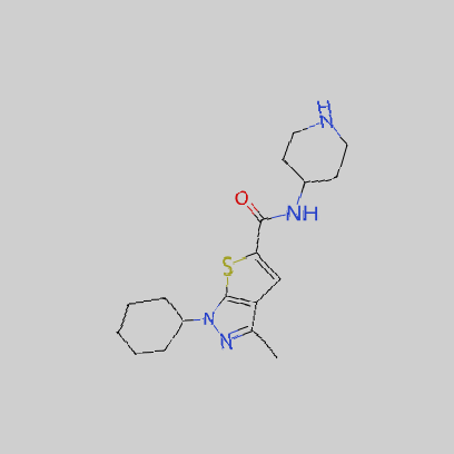 Cc1nn(C2CCCCC2)c2sc(C(=O)NC3CCNCC3)cc12